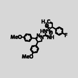 C=CC(c1ccc(F)cc1)S(=O)(=O)NC(=N)N1CC(c2ccc(OC)cc2)C(c2ccc(OC)cc2)=N1